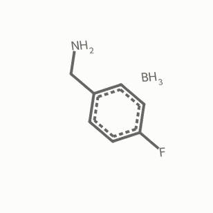 B.NCc1ccc(F)cc1